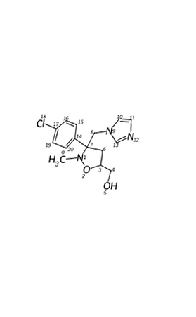 CN1OC(CO)CC1(Cn1ccnc1)c1ccc(Cl)cc1